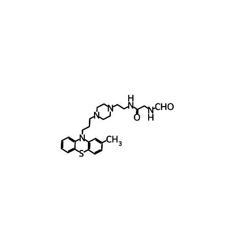 Cc1ccc2c(c1)N(CCCN1CCN(CCNC(=O)CNC=O)CC1)c1ccccc1S2